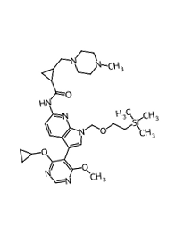 COc1ncnc(OC2CC2)c1-c1cn(COCC[Si](C)(C)C)c2nc(NC(=O)C3CC3CN3CCN(C)CC3)ccc12